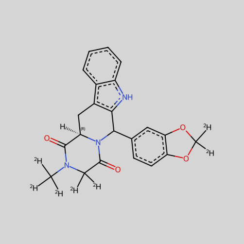 [2H]C1([2H])Oc2ccc(C3c4[nH]c5ccccc5c4C[C@@H]4C(=O)N(C([2H])([2H])[2H])C([2H])([2H])C(=O)N34)cc2O1